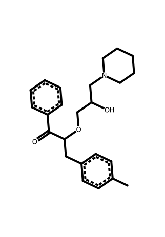 Cc1ccc(CC(OCC(O)CN2CCCCC2)C(=O)c2ccccc2)cc1